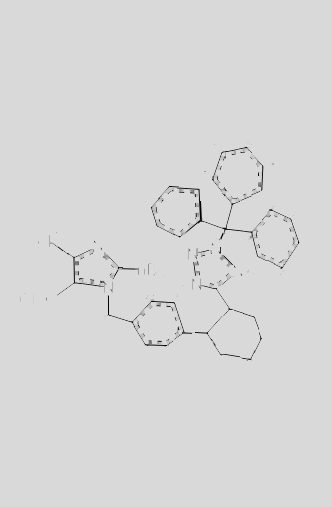 CCCCc1nc(Cl)c(C=O)n1Cc1ccc(C2CCCCC2c2nnn(C(c3ccccc3)(c3ccccc3)c3ccccc3)n2)cc1